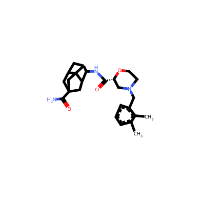 Cc1cccc(CN2CCO[C@@H](C(=O)NC3C4CC5CC3CC(C(N)=O)(C5)C4)C2)c1C